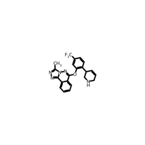 Cc1nnc2c3ccccc3c(Oc3cc(C(F)(F)F)ccc3C3C=CCNC3)nn12